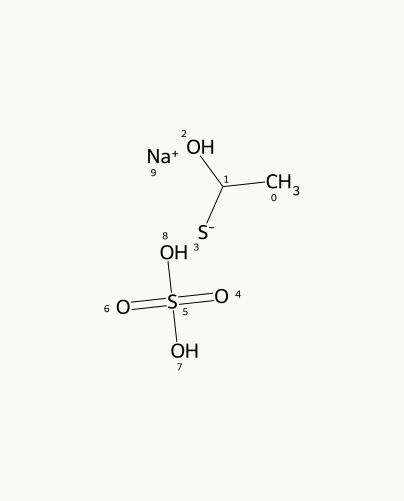 CC(O)[S-].O=S(=O)(O)O.[Na+]